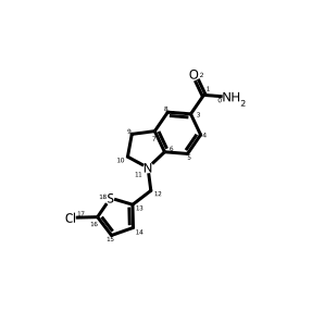 NC(=O)c1ccc2c(c1)CCN2Cc1ccc(Cl)s1